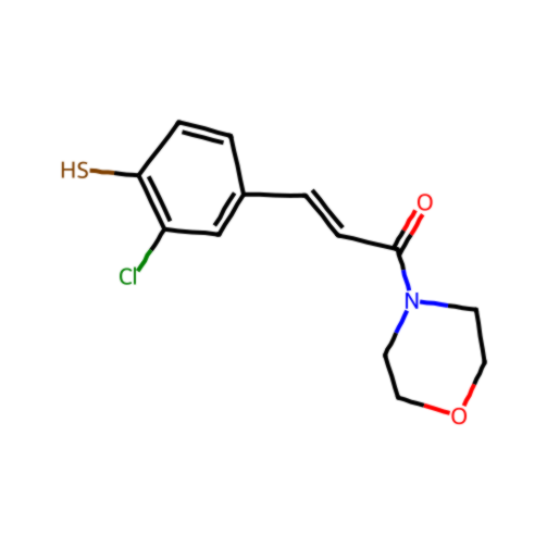 O=C(/C=C/c1ccc(S)c(Cl)c1)N1CCOCC1